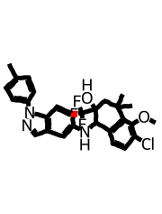 COc1c(Cl)ccc2c1C(C)(C)CC(O)(C(F)(F)F)C2Nc1ccc2c(cnn2-c2ccc(C)cc2)c1